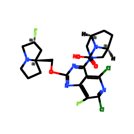 O=C(O)N1[C@@H]2CC[C@H]1CN(c1nc(OC[C@@]34CCCN3C[C@H](F)C4)nc3c(F)c(Cl)nc(Cl)c13)C2